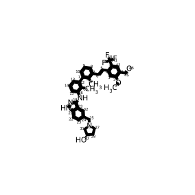 COc1cc(/C=C/c2cccc(-c3cccc(Nc4n[nH]c5ccc(CN6CC[C@@H](O)C6)cc45)c3C)c2C)c(C(F)(F)F)cc1C=O